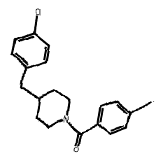 [CH2]c1ccc(C(=O)N2CCC(Cc3ccc(Cl)cc3)CC2)cc1